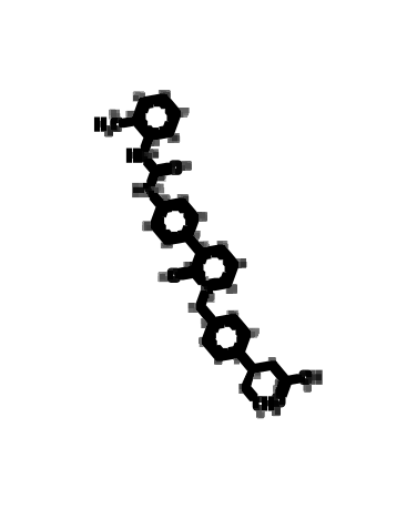 CC[C@H](CC(=O)O)c1ccc(Cn2cccc(-c3ccc(NC(=O)Nc4ccccc4C)cc3)c2=O)cc1